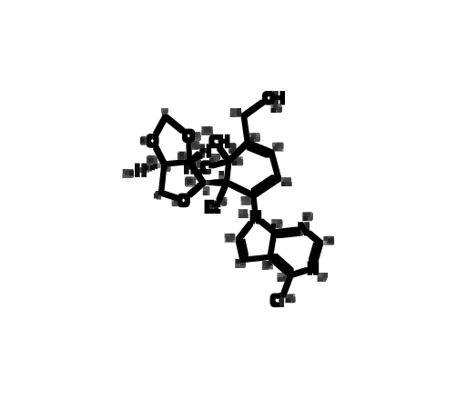 CCC1([C@H]2OC[C@H]3OCO[C@@H]32)C(n2ccc3c(Cl)ncnc32)=CC=C(CO)C1(C)C